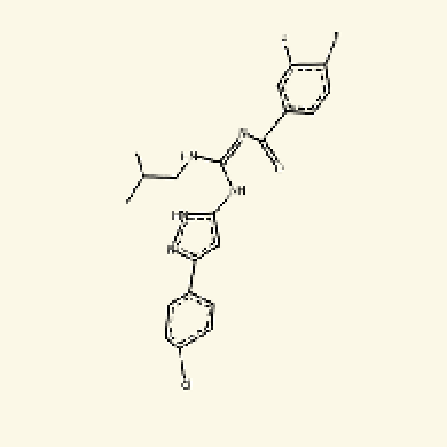 CC(C)CN/C(=N/C(=O)c1ccc(F)c(F)c1)Nc1cc(-c2ccc(Cl)cc2)n[nH]1